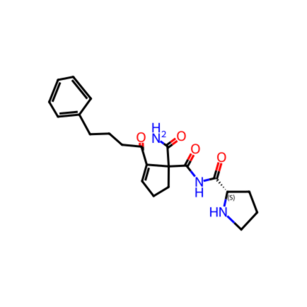 NC(=O)C1(C(=O)NC(=O)[C@@H]2CCCN2)CCC=C1C(=O)CCCc1ccccc1